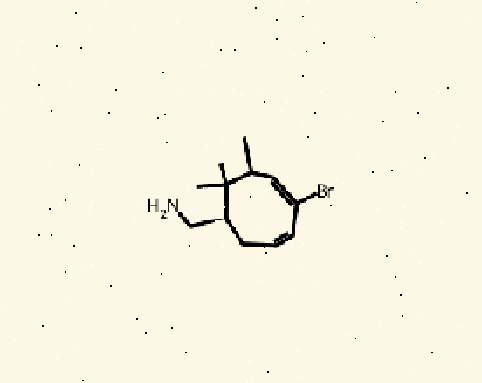 CC1/C=C(Br)\C=C/C[C@@H](CN)C1(C)C